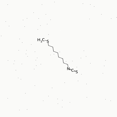 CSCCCCCCCCN=C=S